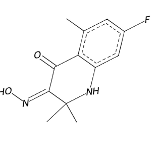 Cc1cc(F)cc2c1C(=O)C(=NO)C(C)(C)N2